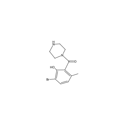 Cc1ccc(Br)c(O)c1C(=O)N1CCNCC1